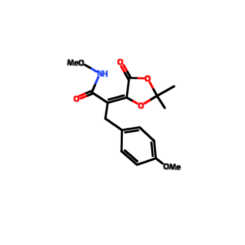 CONC(=O)C(Cc1ccc(OC)cc1)=C1OC(C)(C)OC1=O